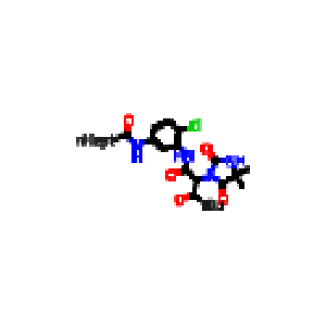 CCCCCCCC(=O)Nc1ccc(Cl)c(NC(=O)C(C(=O)C(C)(C)C)N2C(=O)NC(C)(C)C2=O)c1